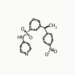 C=C(c1ccc([N+](=O)[O-])cc1)c1cccc(S(=O)(=O)Nc2ccncc2)c1